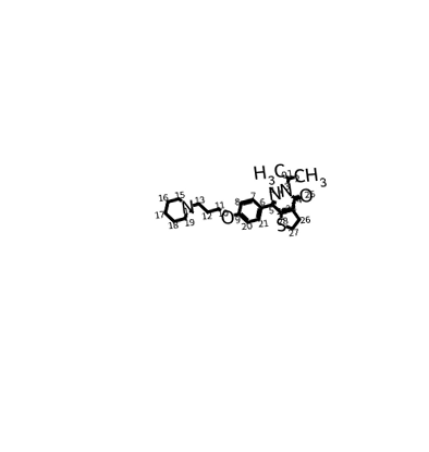 CC(C)n1nc(-c2ccc(OCCCN3CCCCC3)cc2)c2c(c1=O)CCS2